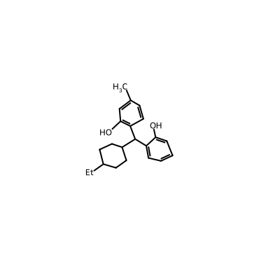 CCC1CCC(C(c2ccccc2O)c2ccc(C)cc2O)CC1